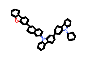 c1ccc(-n2c3ccccc3c3ccc(-c4ccc5c6ccccc6n(-c6ccc7cc(-c8ccc9c(c8)oc8ccccc89)ccc7c6)c5c4)cc32)cc1